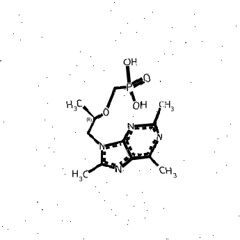 Cc1nc(C)c2nc(C)n(C[C@@H](C)OCP(=O)(O)O)c2n1